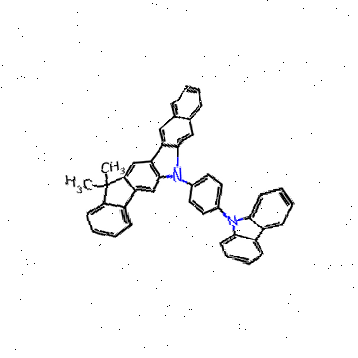 CC1(C)c2ccccc2-c2cc3c(cc21)c1cc2ccccc2cc1n3-c1ccc(-n2c3ccccc3c3ccccc32)cc1